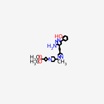 COC(OC)C1CC(N2CCC([C@@H](C)n3cc(C#Cc4cc(-c5ccccc5O)nnc4N)cn3)CC2)C1